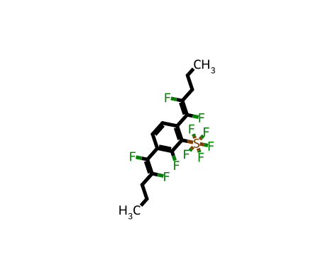 CCC/C(F)=C(\F)c1ccc(/C(F)=C(\F)CCC)c(S(F)(F)(F)(F)F)c1F